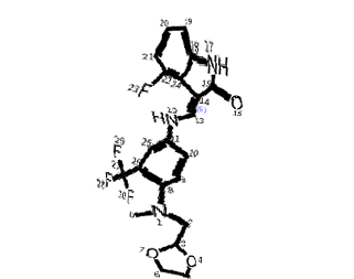 CN(CC1OCCO1)c1ccc(N/C=C2/C(=O)Nc3cccc(F)c32)cc1C(F)(F)F